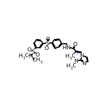 C=Nc1nccn1/C=C(\C)C(=O)NCc1ccc(S(=O)(=O)c2cccc(S(=O)(=O)N(C)C)c2)cc1